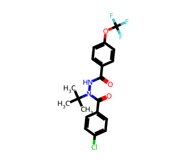 CC(C)(C)N(NC(=O)c1ccc(OC(F)(F)F)cc1)C(=O)c1ccc(Cl)cc1